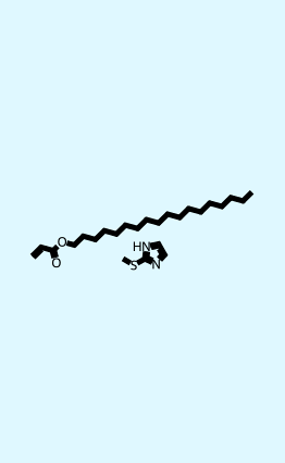 C=CC(=O)OCCCCCCCCCCCCCCCCCC.CSc1ncc[nH]1